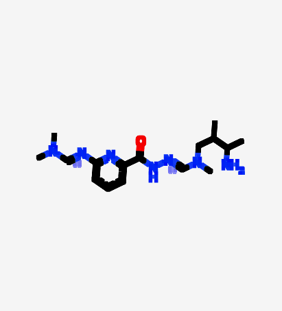 CC(N)C(C)CN(C)/C=N/NC(=O)c1cccc(/N=C/N(C)C)n1